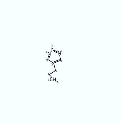 C=CCc1[c]nnnc1